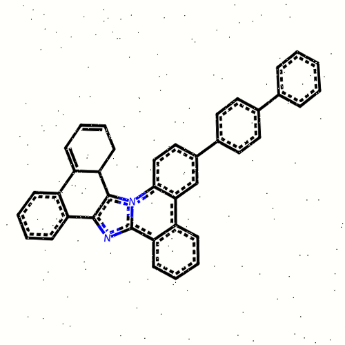 C1=CCC2C(=C1)c1ccccc1-c1nc3c4ccccc4c4cc(-c5ccc(-c6ccccc6)cc5)ccc4n3c12